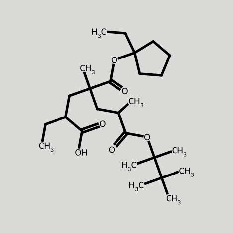 CCC(CC(C)(CC(C)C(=O)OC(C)(C)C(C)(C)C)C(=O)OC1(CC)CCCC1)C(=O)O